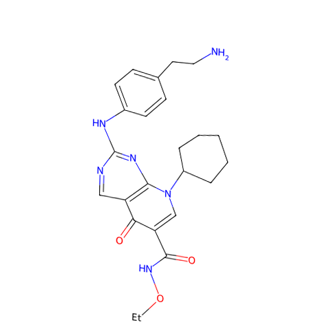 CCONC(=O)c1cn(C2CCCCC2)c2nc(Nc3ccc(CCN)cc3)ncc2c1=O